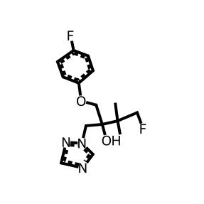 CC(C)(CF)C(O)(COc1ccc(F)cc1)Cn1cncn1